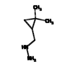 CC1(C)CC1CNN